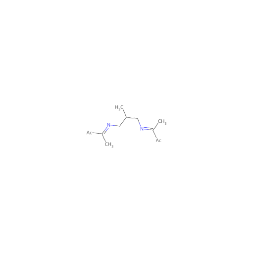 CC(=O)C(C)=NCC(C)CN=C(C)C(C)=O